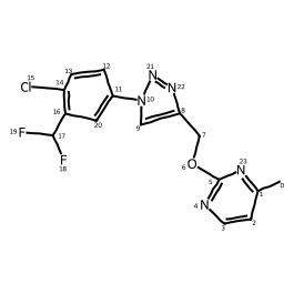 Cc1ccnc(OCc2cn(-c3ccc(Cl)c(C(F)F)c3)nn2)n1